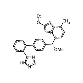 CCOc1cn2c([C@H](OC)c3ccc(-c4ccccc4-c4nnn[nH]4)cc3)ccc(C)c2n1